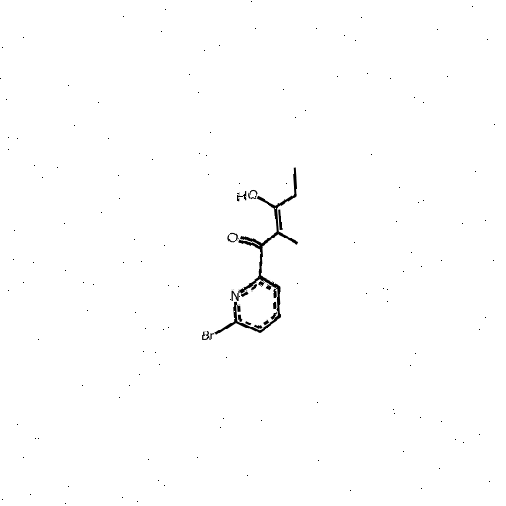 CC/C(O)=C(\C)C(=O)c1cccc(Br)n1